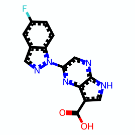 O=C(O)c1c[nH]c2ncc(-n3ncc4cc(F)ccc43)nc12